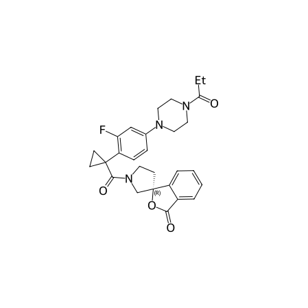 CCC(=O)N1CCN(c2ccc(C3(C(=O)N4CC[C@@]5(C4)OC(=O)c4ccccc45)CC3)c(F)c2)CC1